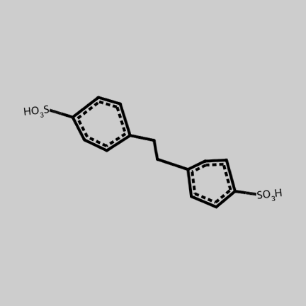 O=S(=O)(O)c1ccc(CCc2ccc(S(=O)(=O)O)cc2)cc1